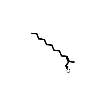 CCCCCCCCCC=C(C)[C]=O